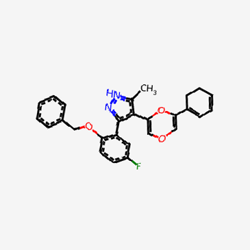 Cc1[nH]nc(-c2cc(F)ccc2OCc2ccccc2)c1C1=COC=C(C2=CC=CCC2)O1